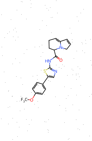 O=C(Nc1ncc(-c2ccc(OC(F)(F)F)cc2)s1)C1CCC=C2C=CCN21